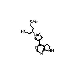 CSCCC(CC#N)n1cc(-c2ncnc3c2CCN3)cn1